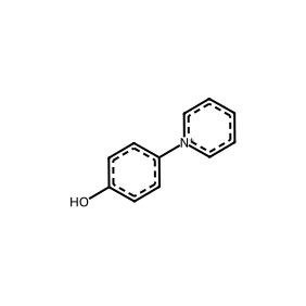 Oc1ccc(-[n+]2ccccc2)cc1